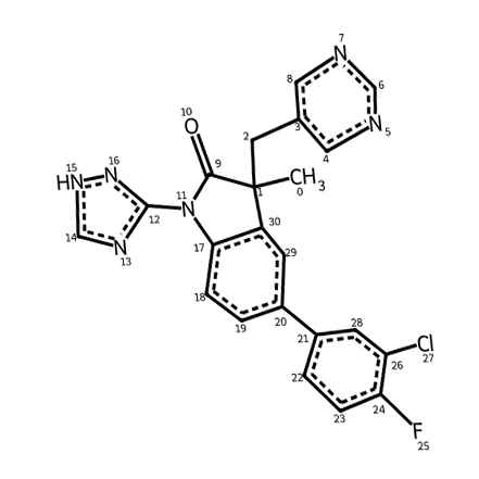 CC1(Cc2cncnc2)C(=O)N(c2nc[nH]n2)c2ccc(-c3ccc(F)c(Cl)c3)cc21